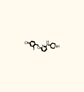 Fc1cc(Cl)ccc1COc1cccc(NC2CCNCC2)n1